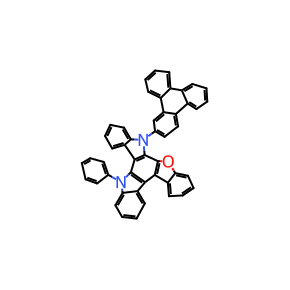 c1ccc(-n2c3ccccc3c3c4c5ccccc5oc4c4c(c5ccccc5n4-c4ccc5c6ccccc6c6ccccc6c5c4)c32)cc1